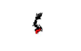 Cn1c(=O)n(C2CCC(=O)NC2=O)c2cccc(CCC3CC4(CCN(C(=O)c5ccc(NC(=O)[C@@H]6NC7(CCCCC7)[C@@]7(C(=O)Nc8cc(Cl)ccc87)[C@H]6C6C=CC=C(Cl)C6F)cc5)CC4)C3)c21